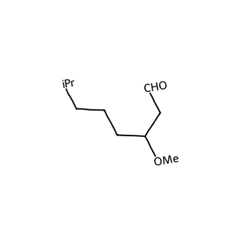 COC(CC=O)CCCC(C)C